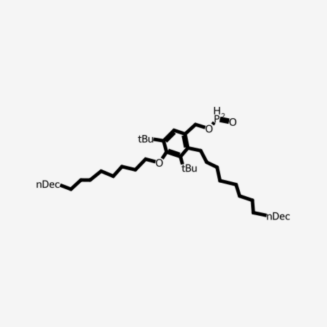 CCCCCCCCCCCCCCCCCCOc1c(C(C)(C)C)cc(CO[PH2]=O)c(CCCCCCCCCCCCCCCCCC)c1C(C)(C)C